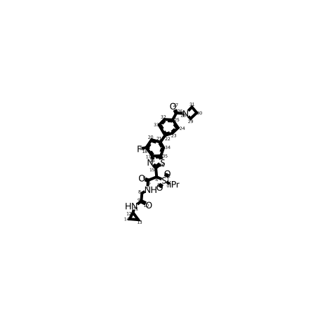 CC(C)S(=O)(=O)C(C(=O)NCC(=O)NC1CC1)c1nc2c(F)cc(-c3ccc(C(=O)N4CCC4)cc3)cc2s1